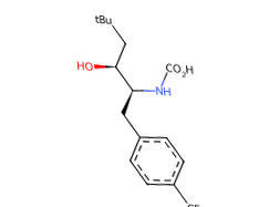 CC(C)(C)C[C@H](O)[C@H](Cc1ccc(C(F)(F)F)cc1)NC(=O)O